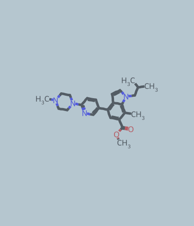 COC(=O)c1cc(-c2ccc(N3CCN(C)CC3)nc2)c2ccn(CC(C)C)c2c1C